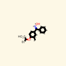 CCC(Oc1ccc(C(=NO)c2ccccc2)cc1C)C(=O)O